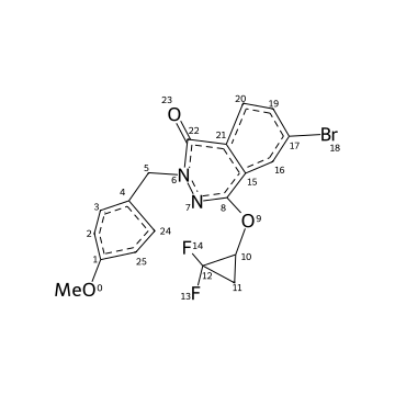 COc1ccc(Cn2nc(OC3CC3(F)F)c3cc(Br)ccc3c2=O)cc1